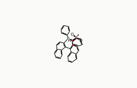 CS(=O)(=O)Nc1ccc2ccccc2c1-c1c(P(c2ccccc2)c2ccccc2)ccc2ccccc12